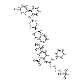 CS(=O)(=O)NCCCCC(CSc1ccccc1)Nc1ccc(S(=O)(=O)Nc2ncnc3cc(N4CCN(Cc5ccccc5-c5ccc(Cl)cc5)CC4)ccc23)cc1[N+](=O)[O-]